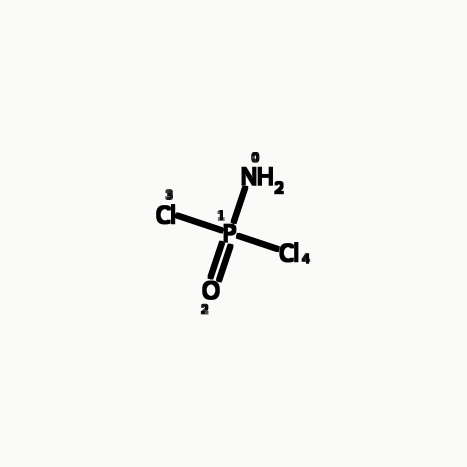 NP(=O)(Cl)Cl